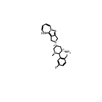 CN1C[C@H](N2Cc3nn4c(c3C2)NC=CC=C4)C[C@H](N)C1c1cc(F)ccc1F